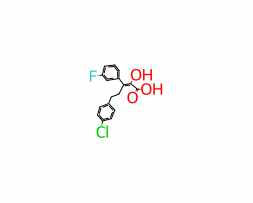 O=C(O)/C(O)=C(\CCc1ccc(Cl)cc1)c1cccc(F)c1